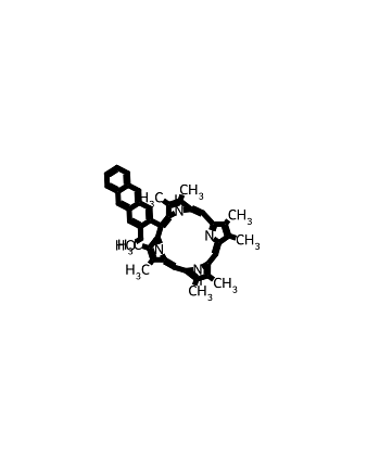 CC1=C(C)c2cc3[nH]c(c(C)c3C)c(-c3cc4cc5ccccc5cc4cc3CO)c3nc(cc4[nH]c(cc1n2)c(C)c4C)C(C)=C3C